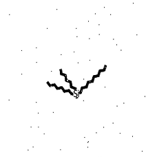 CCCCCCCCCC[Si](C)(CCCCCCC)CCCCCCCC